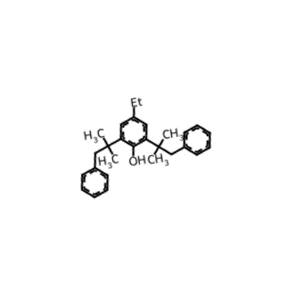 CCc1cc(C(C)(C)Cc2ccccc2)c(O)c(C(C)(C)Cc2ccccc2)c1